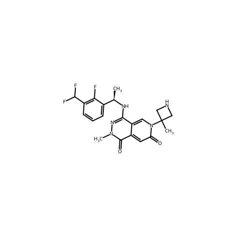 C[C@@H](Nc1nn(C)c(=O)c2cc(=O)n(C3(C)CNC3)cc12)c1cccc(C(F)F)c1F